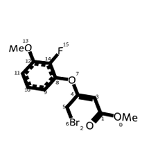 COC(=O)/C=C(\CBr)Oc1cccc(OC)c1F